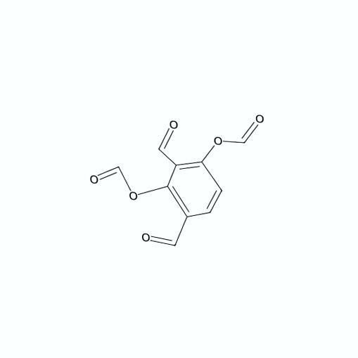 O=COc1ccc(C=O)c(OC=O)c1C=O